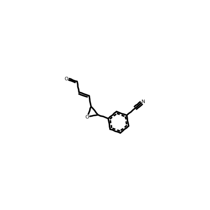 N#Cc1cccc(C2OC2/C=C/C=O)c1